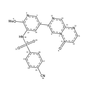 COc1ncc(-c2cn3c(=O)ccnc3cn2)cc1NS(=O)(=O)c1ccc(C#N)cc1